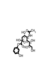 CC(=O)N[C@H]1[C@H]([C@H](O)[C@H](O)CO)O[C@](O)(C(=O)Oc2cccc(O)c2)C[C@@H]1O